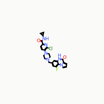 O=C(NC1CC1)c1ccc(N2CCN(Cc3cc(F)c4c(c3)[nH]c(=O)c3cccn34)CC2)c(Cl)n1